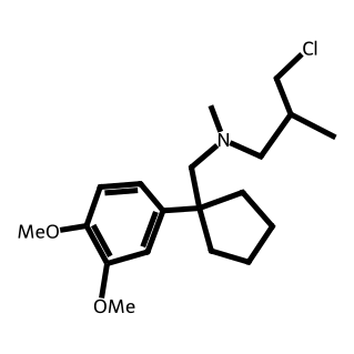 COc1ccc(C2(CN(C)CC(C)CCl)CCCC2)cc1OC